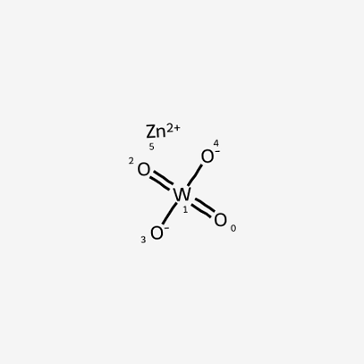 [O]=[W](=[O])([O-])[O-].[Zn+2]